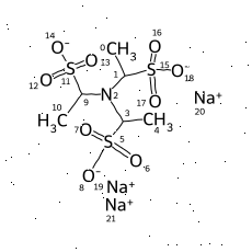 CC(N(C(C)S(=O)(=O)[O-])C(C)S(=O)(=O)[O-])S(=O)(=O)[O-].[Na+].[Na+].[Na+]